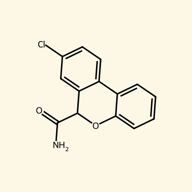 NC(=O)C1Oc2ccccc2-c2ccc(Cl)cc21